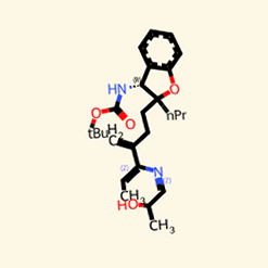 C=C(CCC1(CCC)Oc2ccccc2[C@H]1NC(=O)OC(C)(C)C)C(=C/C)/N=C\C(C)O